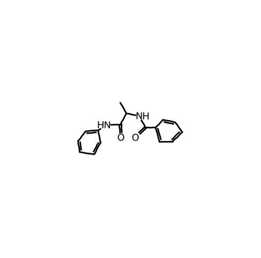 CC(NC(=O)c1ccccc1)C(=O)Nc1ccccc1